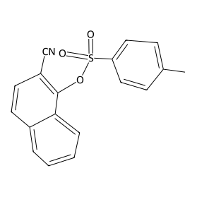 Cc1ccc(S(=O)(=O)Oc2c(C#N)ccc3ccccc23)cc1